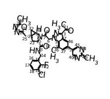 CC(=O)c1nn(CC(=O)N2[C@H](C(=O)NCc3cccc(Cl)c3F)C[C@@]3(Cc4nnc(C)o4)C[C@@H]23)c2c(C)cc(-c3cnc(C)nc3)cc12